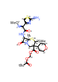 CON=C(C(=O)NC1C(=O)N2CC(C(=O)OCOC(=O)C(C)(C)C)(C3CCOCC3)C(SC)S[C@H]12)c1csc(N)n1